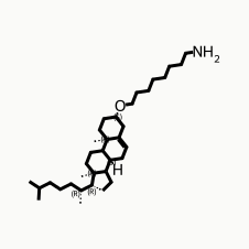 CC(C)CCC[C@@H](C)[C@H]1CCC2[C@@H]3CC=C4C[C@@H](OCCCCCCCCN)CC[C@]4(C)C3CC[C@@]21C